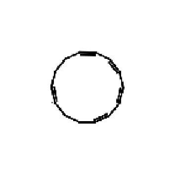 [C]1=CCCC=CC=CC=CC=CCC1